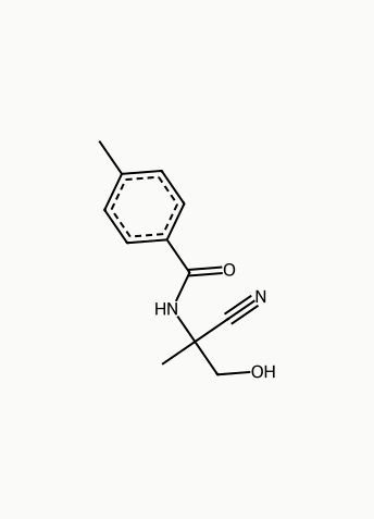 Cc1ccc(C(=O)NC(C)(C#N)CO)cc1